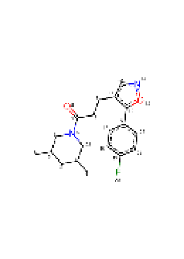 CC1CC(C)CN(C(=O)CCc2cnoc2-c2ccc(F)cc2)C1